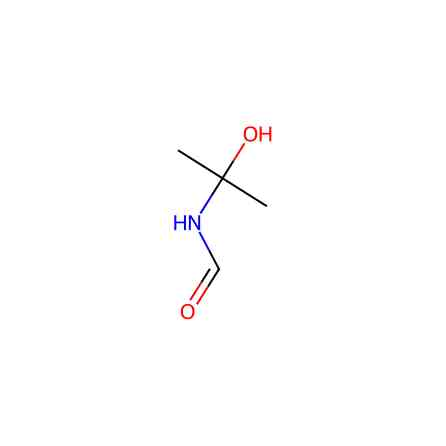 CC(C)(O)NC=O